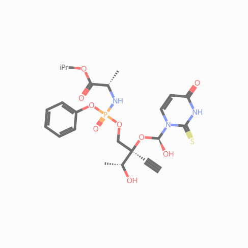 C#C[C@](COP(=O)(N[C@@H](C)C(=O)OC(C)C)Oc1ccccc1)(O[C@H](O)n1ccc(=O)[nH]c1=S)[C@@H](C)O